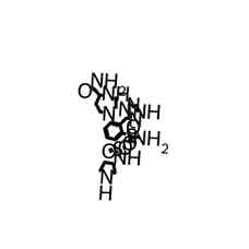 NC(=O)C1CCN(c2ccc(S(=O)(=O)NC3CCNC3)c(S(N)(=O)=O)c2-c2nn[nH]n2)CCN1